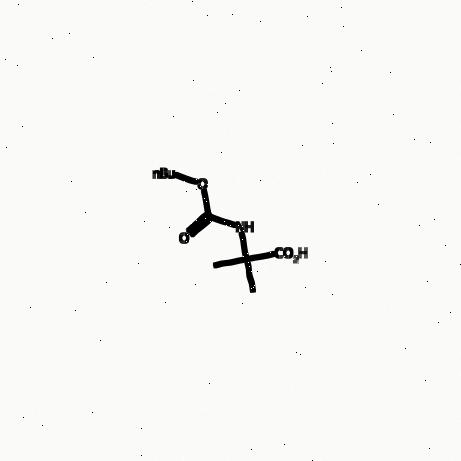 CCCCOC(=O)NC(C)(C)C(=O)O